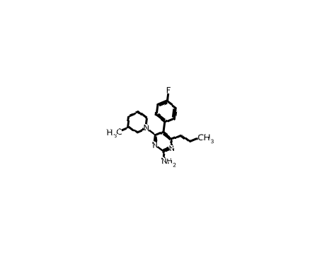 CCCc1nc(N)nc(N2CCCC(C)C2)c1-c1ccc(F)cc1